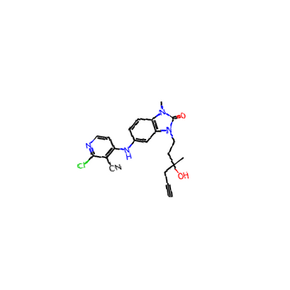 C#CCC(C)(O)CCn1c(=O)n(C)c2ccc(Nc3ccnc(Cl)c3C#N)cc21